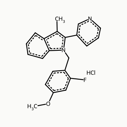 COc1ccc(Cn2c(-c3cccnc3)c(C)c3ccccc32)c(F)c1.Cl